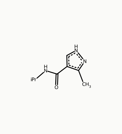 Cc1n[nH]cc1C(=O)NC(C)C